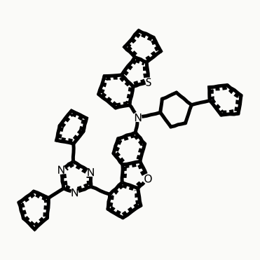 c1ccc(-c2nc(-c3ccccc3)nc(-c3cccc4oc5cc(N(c6cccc7c6sc6ccccc67)C6CCC(c7ccccc7)CC6)ccc5c34)n2)cc1